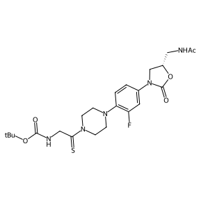 CC(=O)NC[C@H]1CN(c2ccc(N3CCN(C(=S)CNC(=O)OC(C)(C)C)CC3)c(F)c2)C(=O)O1